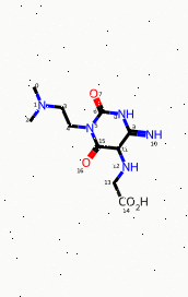 CN(C)CCN1C(=O)NC(=N)C(NCC(=O)O)C1=O